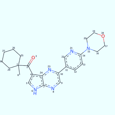 CC1(C(=O)c2c[nH]c3ncc(-c4ccc(N5CCOCC5)nc4)nc23)CCCCC1